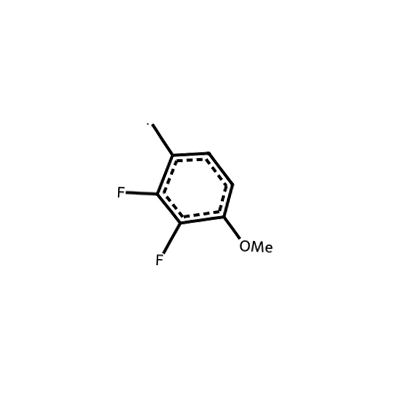 [CH2]c1ccc(OC)c(F)c1F